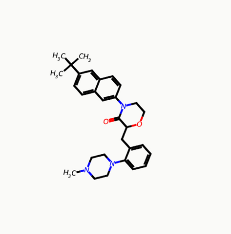 CN1CCN(c2ccccc2CC2OCCN(c3ccc4cc(C(C)(C)C)ccc4c3)C2=O)CC1